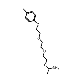 C[C@H](N)OCCOCCOCCOc1ccc(I)cc1